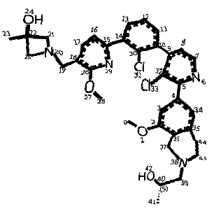 COc1cc(-c2nccc(-c3cccc(-c4ccc(CN5CC(C)(O)C5)c(OC)n4)c3Cl)c2Cl)cc2c1CN(C[C@H](C)O)CC2